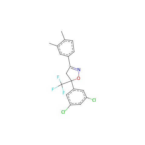 Cc1ccc(C2=NOC(c3cc(Cl)cc(Cl)c3)(C(F)(F)F)C2)cc1C